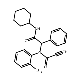 C#CC(=O)N(c1ccccc1C)C(C(=O)NC1CCCCC1)c1ccccc1